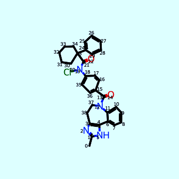 Cc1nc2c([nH]1)-c1ccccc1N(C(=O)c1ccc(N(Cl)C(=O)C3(c4ccccc4)CCCCC3)cc1)CC2